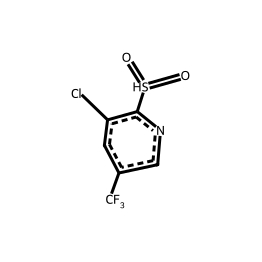 O=[SH](=O)c1ncc(C(F)(F)F)cc1Cl